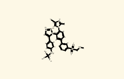 COCS(=O)(=O)c1cccc(-c2ccc(-n3cc(C)nc3C)c(-n3nncc3-c3ccc(OC(F)(F)F)cc3)c2)c1